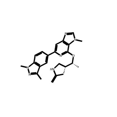 C=C1C[C@@H]([C@@H](C)Oc2nc(-c3ccc4c(c3)c(C)nn4C)cc3ncn(C)c23)CN1